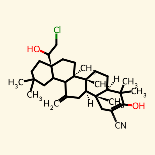 C=C1C[C@@H]2[C@@]3(C)CC(C#N)=C(O)C(C)(C)[C@@H]3CC[C@@]2(C)[C@]2(C)CC[C@@]3(C(O)CCl)CCC(C)(C)CC3C12